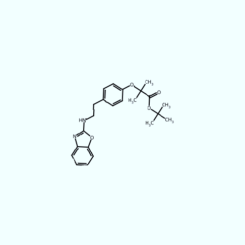 CC(C)(C)OC(=O)C(C)(C)Oc1ccc(CCNc2nc3ccccc3o2)cc1